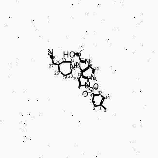 Cc1ccc(S(=O)(=O)n2ccc3c2ncc2nc([C@@H](C)O)n(N4CCCC(CC#N)CC4)c23)cc1